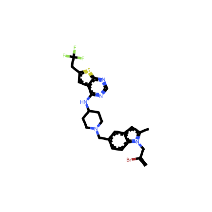 C=C(Br)Cn1c(C)cc2cc(CN3CCC(Nc4ncnc5sc(CC(F)(F)F)cc45)CC3)ccc21